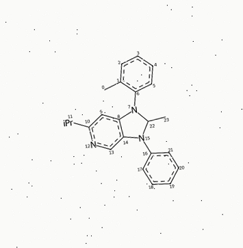 Cc1ccccc1N1c2cc(C(C)C)ncc2N(c2ccccc2)C1C